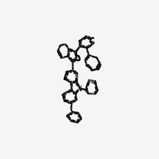 C1#CCC(c2ccccc2-c2oc(-c3ccc4c5ccc(-c6ccccc6)cc5n(-c5ccccc5)c4c3)c3c2CCC=C3)=CC=C1